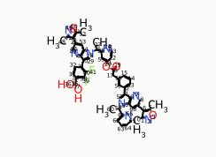 Cc1noc(C)c1-c1cnc2c(-c3cccc(CC(=O)Oc4ccnc([C@H](C)n5cc(-c6ccc(C(O)O)c(F)c6F)c6ncc(-c7c(C)noc7C)cc65)c4)c3)cn([C@@H](C)c3ccccn3)c2c1